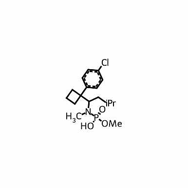 COP(=O)(O)N(C)C(CC(C)C)C1(c2ccc(Cl)cc2)CCC1